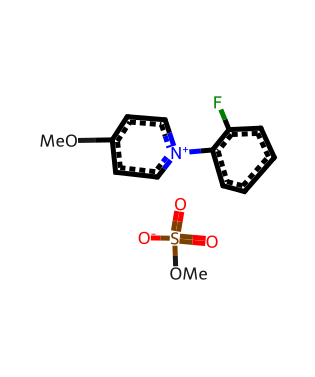 COS(=O)(=O)[O-].COc1cc[n+](-c2ccccc2F)cc1